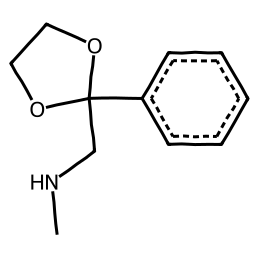 CNCC1(c2ccccc2)OCCO1